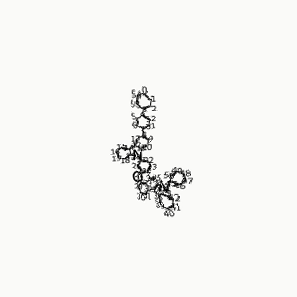 c1ccc(-c2ccc(-c3ccc4c(c3)c3ccccc3n4-c3ccc4c(c3)Oc3cccc5c3c-4cc3c5c4ccccc4n3-c3ccccc3)cc2)cc1